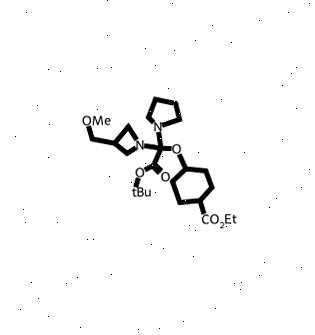 CCOC(=O)C1CCC(OC(C(=O)OC(C)(C)C)(N2CCCC2)N2CC(COC)C2)CC1